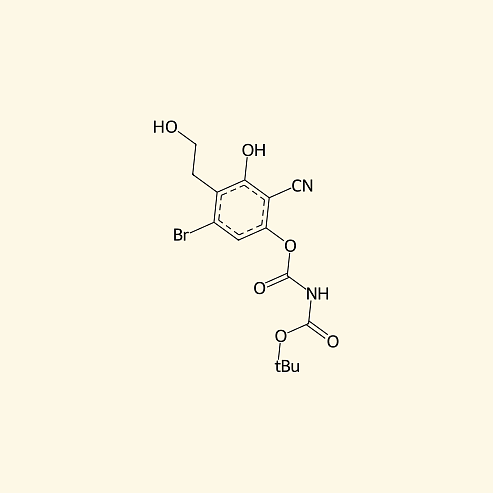 CC(C)(C)OC(=O)NC(=O)Oc1cc(Br)c(CCO)c(O)c1C#N